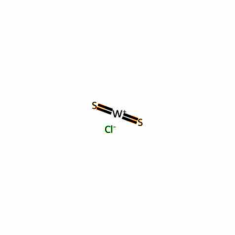 [Cl-].[S]=[W+]=[S]